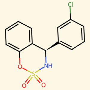 O=S1(=O)N[C@H](c2cccc(Cl)c2)c2ccccc2O1